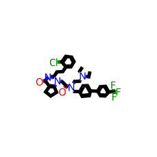 CCN(CC)CCN(Cc1ccc(-c2ccc(C(F)(F)F)cc2)cc1)C(=O)Cn1c(CCc2ccccc2Cl)nc(=O)c2c1CCC2